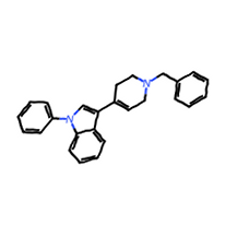 C1=C(c2cn(-c3ccccc3)c3ccccc23)CCN(Cc2ccccc2)C1